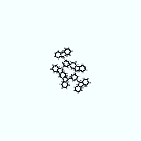 c1cc(-n2c3ccccc3c3ccccc32)nc(-n2c3ccccc3c3cc4c5ccccc5n(-c5nc(-n6c7ccccc7c7ccccc76)cc(-n6c7ccccc7c7ccccc76)n5)c4cc32)c1